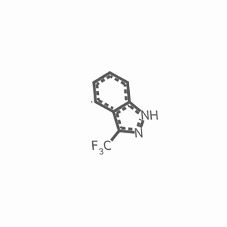 FC(F)(F)c1n[nH]c2ccc[c]c12